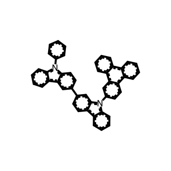 c1ccc(-n2c3ccccc3c3cc(-c4ccc5c6ccccc6n(-c6ccc7c8ccccc8c8ccccc8c7c6)c5c4)ccc32)cc1